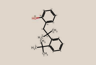 CC(C)(C)c1ccccc1C(C)(C)Cc1ccccc1O